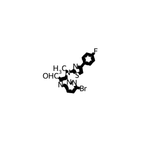 CN(c1nc(-c2ccc(F)cc2)cs1)c1c(C=O)nc2ccc(Br)nn12